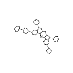 c1ccc(-c2ccc(-c3ccc4c(c3)c(-c3ccccc3)cc3cc5cc(-c6ccccc6)c6cc(-c7ccccc7)ccc6c5nc34)cc2)cc1